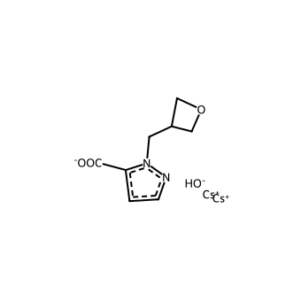 O=C([O-])c1ccnn1CC1COC1.[Cs+].[Cs+].[OH-]